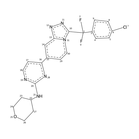 FC(F)(c1ccc(Cl)cc1)c1nnc2cc(-c3ccnc(NC4CCOCC4)n3)ccn12